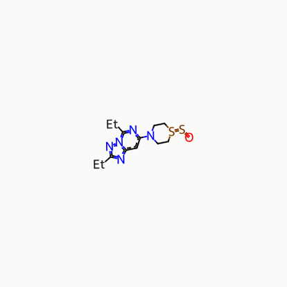 CCc1nc2cc(N3CCS(=S=O)CC3)nc(CC)n2n1